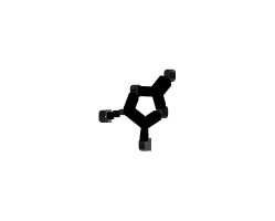 O=C1O[C@@H](Cl)[C@H](Cl)O1